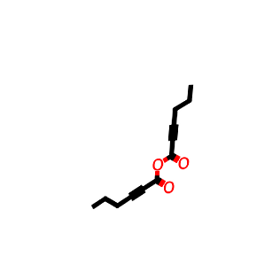 CCCC#CC(=O)OC(=O)C#CCCC